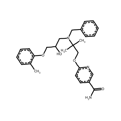 Cc1ccccc1OCC(O)CN(Cc1ccccc1)C(C)(C)COc1ccc(C(N)=O)cn1